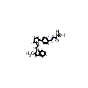 Cc1cc2ccccc2n1CCN1CCCC1c1ccc(/C=C/C(=O)NO)cc1